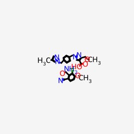 COCc1nn(Cc2ccc(Cn3cc(C)cn3)cc2)cc1C(=O)O.COc1ccc(C#N)c(C(N)=O)c1F